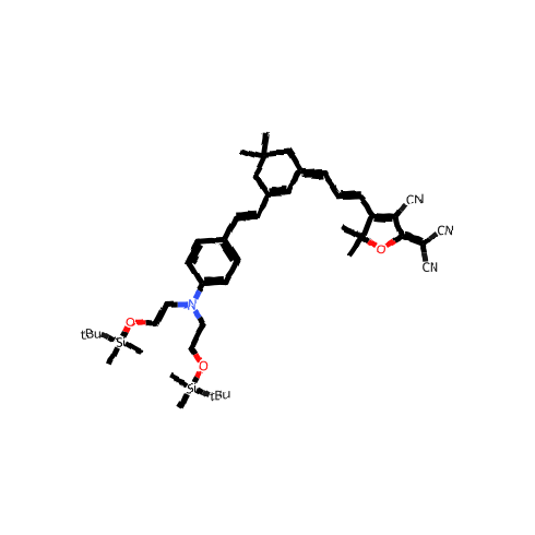 CC1(C)CC(=CC=CC2=C(C#N)C(=C(C#N)C#N)OC2(C)C)C=C(C=Cc2ccc(N(CCO[Si](C)(C)C(C)(C)C)CCO[Si](C)(C)C(C)(C)C)cc2)C1